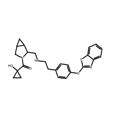 O=C(N1CC2CC2C1CNCCc1ccc(Oc2nc3ccccc3s2)cc1)C1(O)CC1